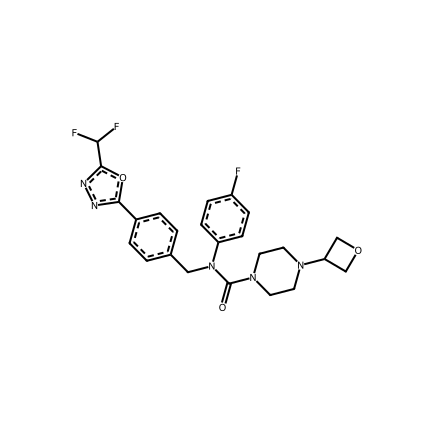 O=C(N1CCN(C2COC2)CC1)N(Cc1ccc(-c2nnc(C(F)F)o2)cc1)c1ccc(F)cc1